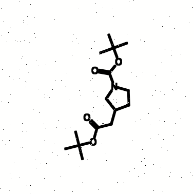 CC(C)(C)OC(=O)CC1CCN(C(=O)OC(C)(C)C)C1